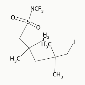 CC(C)(CI)CC(C)(C)CS(=O)(=O)NC(F)(F)F